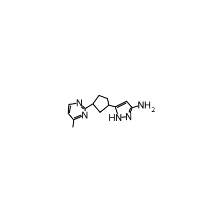 Cc1ccnc(C2CCC(c3cc(N)n[nH]3)C2)n1